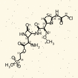 CON=C(C(=O)NC1C(=O)NC1C(N)C(=O)OCCS(C)(=O)=O)c1csc(NC(=O)CCl)n1